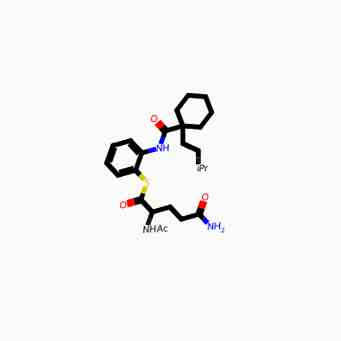 CC(=O)NC(CCC(N)=O)C(=O)Sc1ccccc1NC(=O)C1(CCC(C)C)CCCCC1